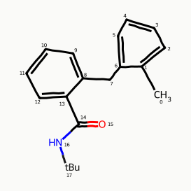 Cc1ccccc1Cc1ccccc1C(=O)NC(C)(C)C